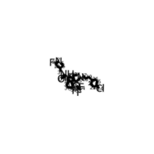 O=C(NCc1ccnc(F)c1)N1CC2(CCN(C/C=C/c3ccc(Cl)cc3)CC2)c2c(OC(F)(F)F)cccc21